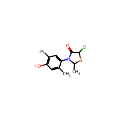 Cc1cc(O)c(C(C)C)cc1N1C(=O)C(Cl)SC1C